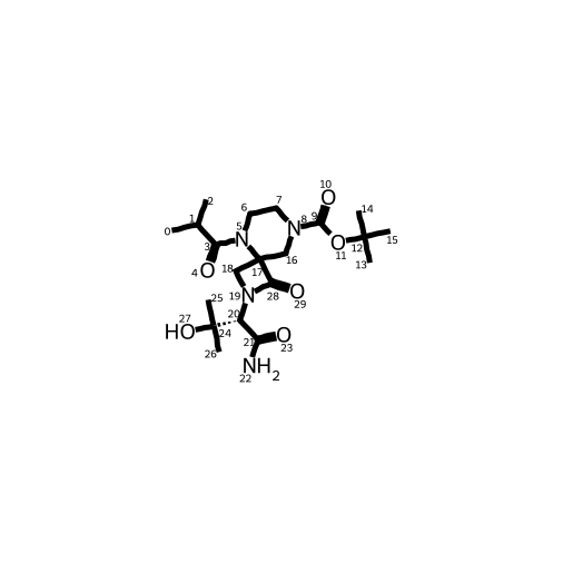 CC(C)C(=O)N1CCN(C(=O)OC(C)(C)C)CC12CN([C@H](C(N)=O)C(C)(C)O)C2=O